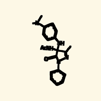 CC(=O)NC1(Nc2ccc(N(C)C)cc2)C(=O)N(c2ccccc2)N=C1C